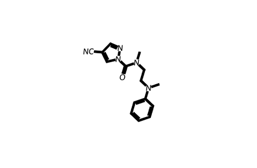 CN(CCN(C)c1ccccc1)C(=O)n1cc(C#N)cn1